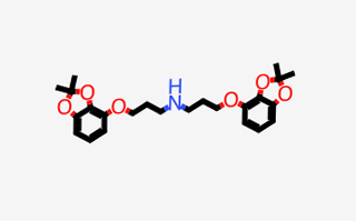 CC1(C)Oc2cccc(OCCCNCCCOc3cccc4c3OC(C)(C)O4)c2O1